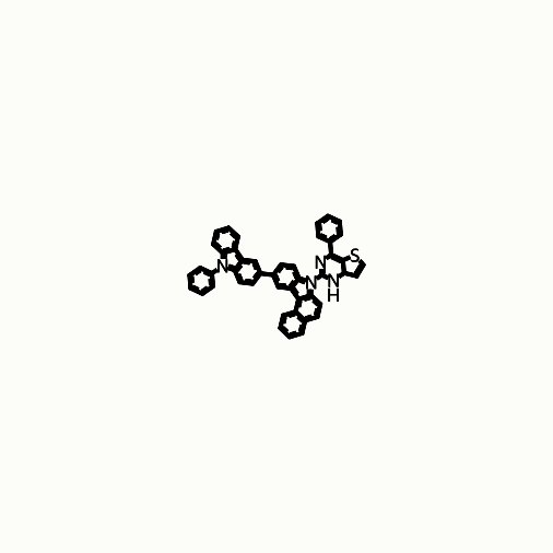 C1=CC2NC(n3c4ccc(-c5ccc6c(c5)c5ccccc5n6-c5ccccc5)cc4c4c5ccccc5ccc43)=NC(c3ccccc3)=C2S1